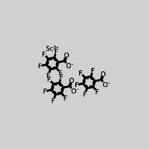 O=C([O-])c1c(F)c(F)c(F)c(F)c1F.O=C([O-])c1c(F)c(F)c(F)c(F)c1F.O=C([O-])c1c(F)c(F)c(F)c(F)c1F.[Sc+3]